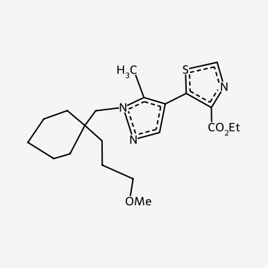 CCOC(=O)c1ncsc1-c1cnn(CC2(CCCOC)CCCCC2)c1C